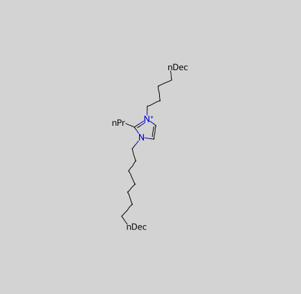 CCCCCCCCCCCCCCCCCn1cc[n+](CCCCCCCCCCCCCC)c1CCC